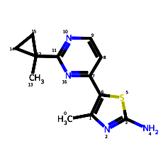 Cc1nc(N)sc1-c1ccnc(C2(C)CC2)n1